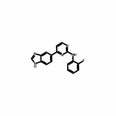 Fc1ccccc1Nc1nccc(-c2ccc3[nH]cnc3c2)n1